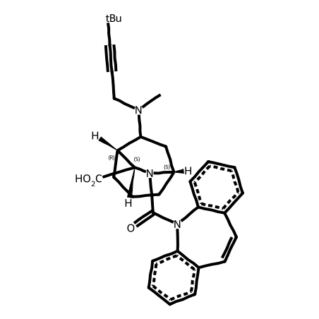 CN(CC#CC(C)(C)C)C1C[C@@H]2CCC[C@H]1[C@@H](C(=O)O)N2C(=O)N1c2ccccc2C=Cc2ccccc21